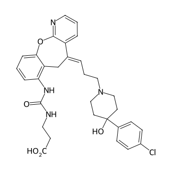 O=C(O)CCNC(=O)Nc1cccc2c1CC(=CCCN1CCC(O)(c3ccc(Cl)cc3)CC1)c1cccnc1O2